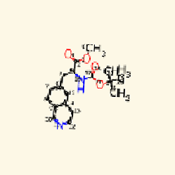 COC(=O)[C@H](Cc1ccc2cnccc2c1)NC(=O)OC(C)(C)C